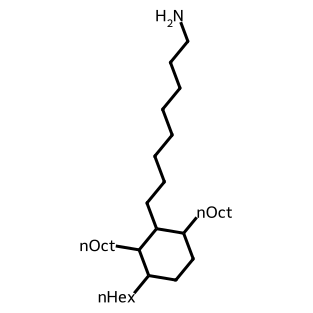 CCCCCCCCC1CCC(CCCCCC)C(CCCCCCCC)C1CCCCCCCCN